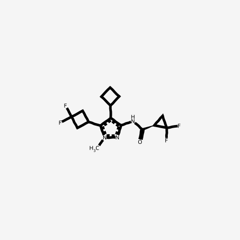 Cn1nc(NC(=O)[C@H]2CC2(F)F)c(C2CCC2)c1C1CC(F)(F)C1